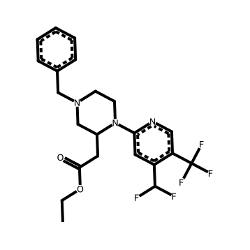 CCOC(=O)CC1CN(Cc2ccccc2)CCN1c1cc(C(F)F)c(C(F)(F)F)cn1